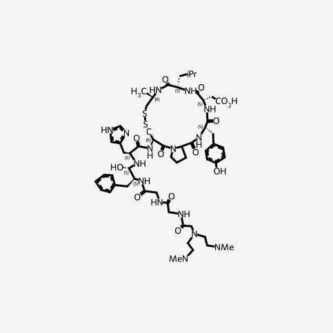 CNCCN(CCNC)CC(=O)NCC(=O)NCC(=O)N[C@@H](Cc1ccccc1)[C@H](O)N[C@@H](Cc1c[nH]cn1)C(=O)N[C@H]1CSSC[C@@H](C)NC(=O)[C@H](CC(C)C)NC(=O)[C@H](CC(=O)O)NC(=O)[C@H](Cc2ccc(O)cc2)NC(=O)C2CCCN2C1=O